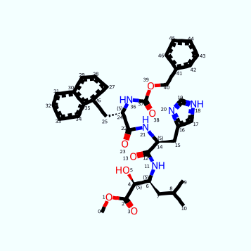 COC(=O)[C@@H](O)[C@H](CC(C)C)NC(=O)[C@H](Cc1c[nH]cn1)NC(=O)[C@H](Cc1cccc2ccccc12)NC(=O)OCc1ccccc1